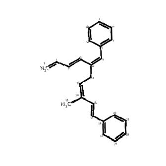 C=CC=CC(=Cc1ccccc1)CC=C(C)C=Cc1ccccc1